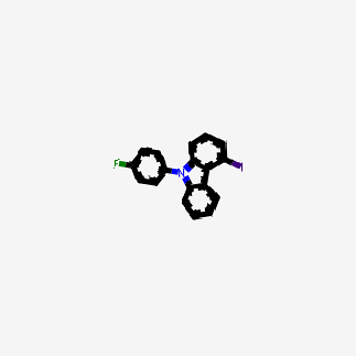 Fc1ccc(-n2c3ccccc3c3c(I)cccc32)cc1